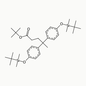 CC(C)(C)OC(=O)CCC(C)(c1ccc(O[Si](C)(C)C(C)(C)C)cc1)c1ccc(O[Si](C)(C)C(C)(C)C)cc1